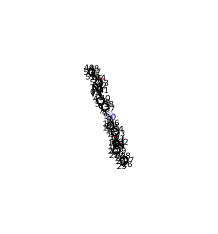 Cn1c(-c2ccc3cc(/C=C/c4ccc5cc(-c6cc7ccc(-c8ccccc8)cc7n6C)ccc5c4)ccc3c2)cc2ccc(-c3ccccc3)cc21